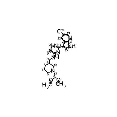 COC(CN1CCC[C@@H](CNc2nc(-c3c[nH]c4ncc(Cl)cc34)ncc2F)C1)OC